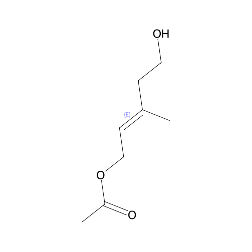 CC(=O)OC/C=C(\C)CCO